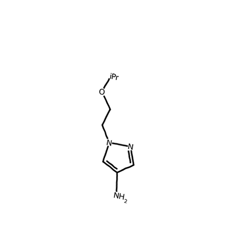 CC(C)OCCn1cc(N)cn1